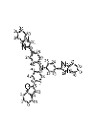 c1ccc2oc(-c3ccc(N(c4ccc(-c5cn6ccccc6n5)cc4)c4ccc(-c5cn6ccccc6n5)cc4)cc3)cc2c1